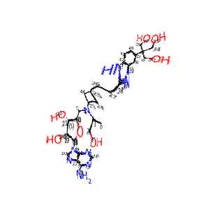 CC(CO)N(C[C@H]1O[C@@H](n2cnc3c(N)ncnc32)[C@H](O)[C@@H]1O)C1CC(CCc2nc3cc(C(CO)(CO)CO)ccc3[nH]2)C1